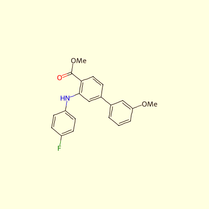 COC(=O)c1ccc(-c2cccc(OC)c2)cc1Nc1ccc(F)cc1